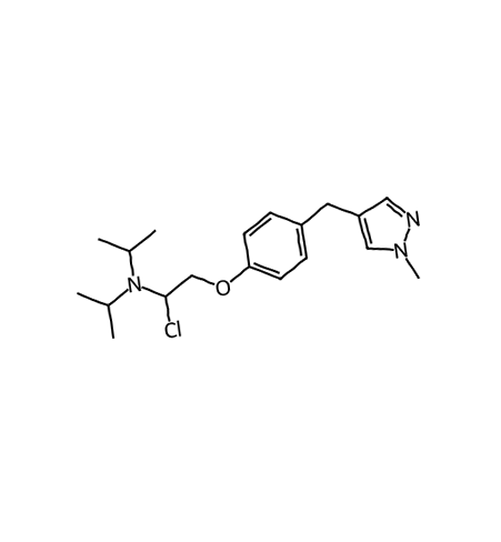 CC(C)N(C(C)C)C(Cl)COc1ccc(Cc2cnn(C)c2)cc1